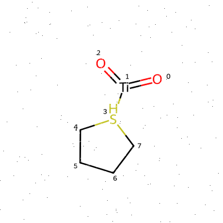 [O]=[Ti](=[O])[SH]1[CH]CCC1